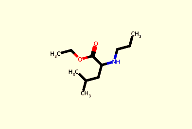 CCCNC(CC(C)C)C(=O)OCC